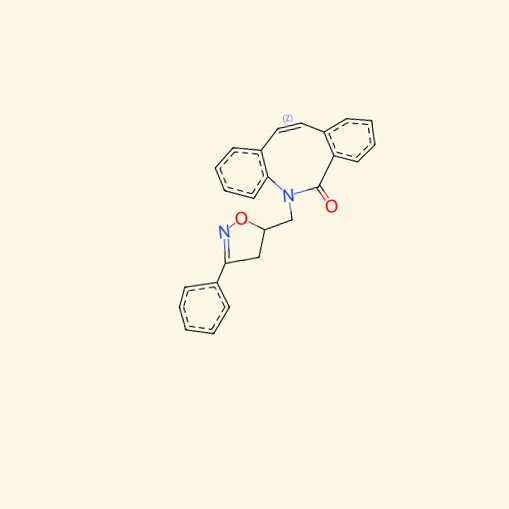 O=C1c2ccccc2/C=C\c2ccccc2N1CC1CC(c2ccccc2)=NO1